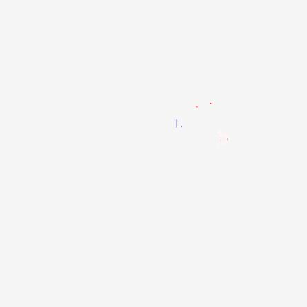 C/C(=C\C=C(/C)N(c1cc(-c2cccc3c2ccc2ccccc23)ccc1-c1ccccc1)c1cccc2oc3c4ccccc4ccc3c12)c1ccc2c(ccc3ccccc32)c1